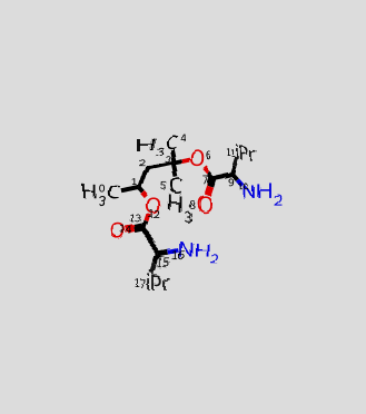 CC(CC(C)(C)OC(=O)C(N)C(C)C)OC(=O)C(N)C(C)C